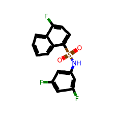 O=S(=O)(Nc1cc(F)cc(F)c1)c1ccc(F)c2ccccc12